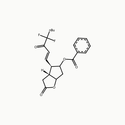 CCCCC(F)(F)C(=O)/C=C/[C@H]1C(OC(=O)c2ccccc2)CC2OC(=O)C[C@@H]21